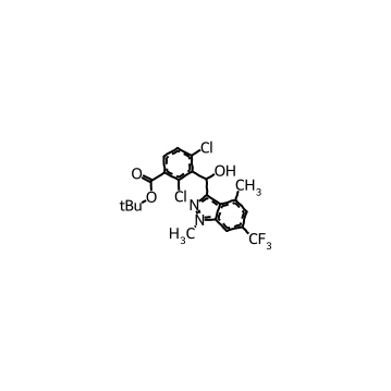 Cc1cc(C(F)(F)F)cc2c1c(C(O)c1c(Cl)ccc(C(=O)OC(C)(C)C)c1Cl)nn2C